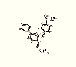 C/C=C/c1cnc(-c2ccccc2)nc1Oc1ccc(C(=O)O)cc1